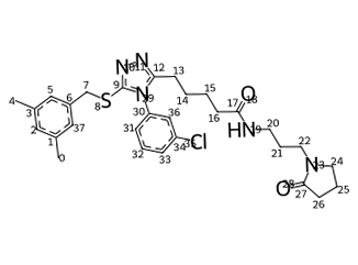 Cc1cc(C)cc(CSc2nnc(CCCCC(=O)NCCCN3CCCC3=O)n2-c2cccc(Cl)c2)c1